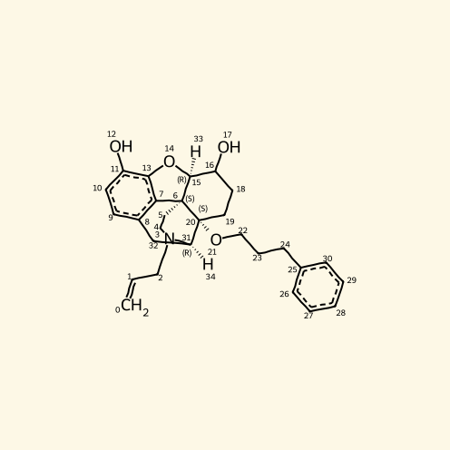 C=CCN1CC[C@]23c4c5ccc(O)c4O[C@H]2C(O)CC[C@@]3(OCCCc2ccccc2)[C@H]1C5